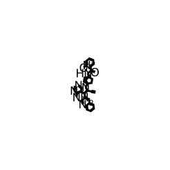 C#Cc1c(-c2cnc3ccccc3c2)c2c(N)ncnc2n1C12CCC(NC(=O)c3cccc[n+]3[O-])(CC1)C2